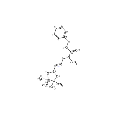 CN(C/C=C/B1OC(C)(C)C(C)(C)O1)C(=O)OCc1ccccc1